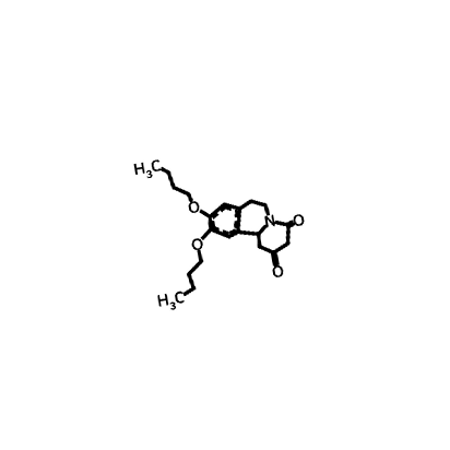 CCCCOc1cc2c(cc1OCCCC)C1CC(=O)CC(=O)N1CC2